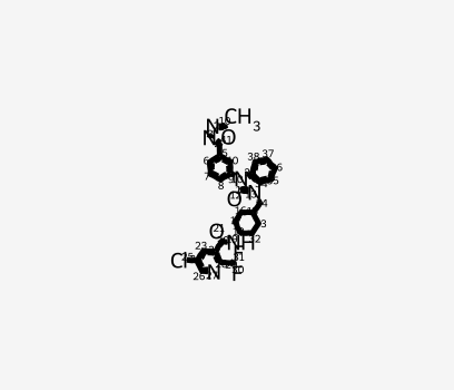 Cc1nnc(-c2cccc(-n3c(=O)n(CC4CCC(NC(=O)c5cc(Cl)cnc5C(F)F)CC4)c4ccccc43)c2)o1